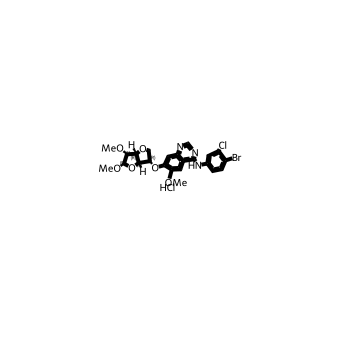 COc1cc2c(Nc3ccc(Br)c(Cl)c3)ncnc2cc1O[C@@H]1CO[C@H]2[C@H](OC)[C@H](OC)O[C@H]21.Cl